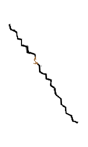 CCCCCCCCCCCCCC[CH]SCCCCCCCCC